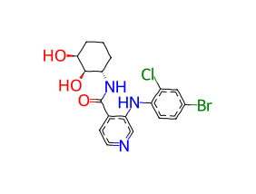 O=C(N[C@H]1CCC[C@H](O)[C@@H]1O)c1ccncc1Nc1ccc(Br)cc1Cl